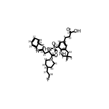 CC1(C)CNc2c(cc(CCC(=O)O)cc2S(=O)(=O)NC(Cc2nc3ccccc3s2)C(=O)N2CCC(CCF)CC2)C1